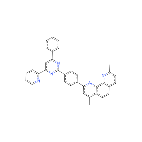 Cc1ccc2ccc3c(C)cc(-c4ccc(-c5nc(-c6ccccc6)cc(-c6ccccn6)n5)cc4)nc3c2n1